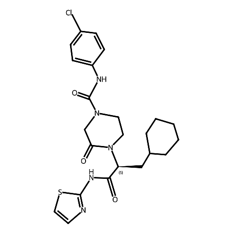 O=C(Nc1nccs1)[C@H](CC1CCCCC1)N1CCN(C(=O)Nc2ccc(Cl)cc2)CC1=O